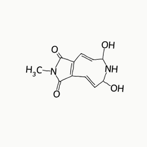 CN1C(=O)C2=C(/C=C/C(O)NC(O)/C=C/2)C1=O